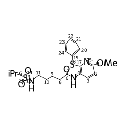 COc1ccc(NC(=O)CCCCNS(=O)(=O)C(C)C)c(Sc2ccccc2)n1